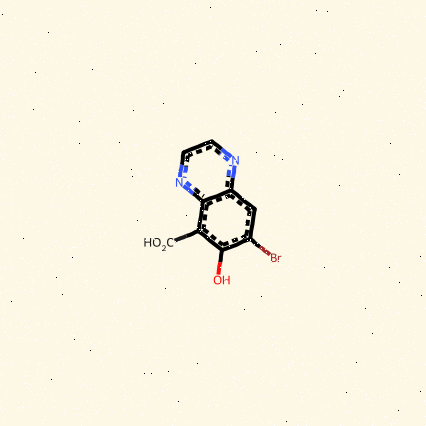 O=C(O)c1c(O)c(Br)cc2nccnc12